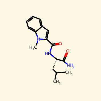 CC(C)C[C@H](NC(=O)c1cc2ccccc2n1C)C(N)=O